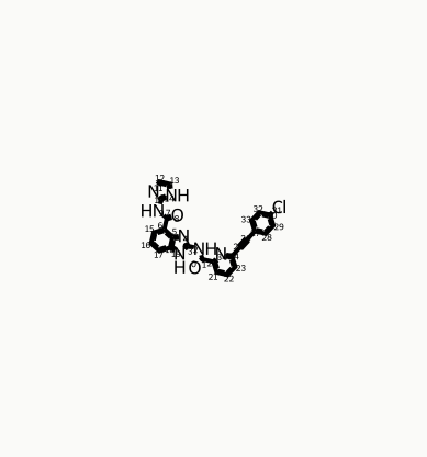 O=C(Nc1nc2c(C(=O)Nc3ncc[nH]3)cccc2[nH]1)c1cccc(C#Cc2ccc(Cl)cc2)n1